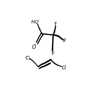 ClC=CCl.O=C(O)C(F)(F)F